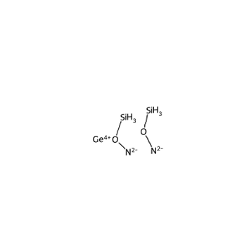 [Ge+4].[N-2]O[SiH3].[N-2]O[SiH3]